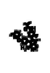 C=C(C)C(=O)Nc1ccc(-c2c(-c3ccc(Oc4cccc(C)n4)cc3)c3c(N)ncnc3n2C)c(F)c1